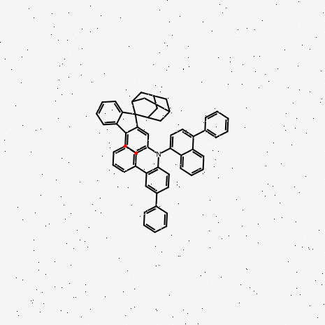 c1ccc(-c2ccc(N(c3ccc4c(c3)C3(c5ccccc5-4)C4CC5CC(C4)CC3C5)c3ccc(-c4ccccc4)c4ccccc34)c(-c3ccccc3)c2)cc1